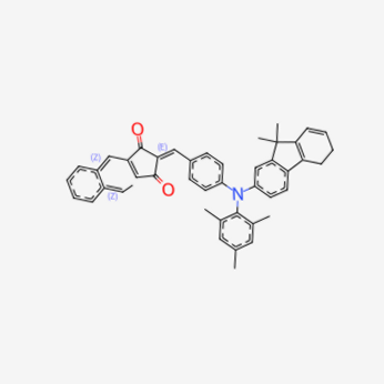 C/C=c1/cccc/c1=C/C1=CC(=O)/C(=C\c2ccc(N(c3ccc4c(c3)C(C)(C)C3=C4CCC=C3)c3c(C)cc(C)cc3C)cc2)C1=O